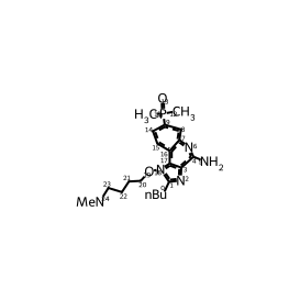 CCCCc1nc2c(N)nc3cc(P(C)(C)=O)ccc3c2n1OCCCCNC